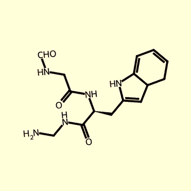 NCNC(=O)[C@H](CC1=CC2CC=CC=C2N1)NC(=O)CNC=O